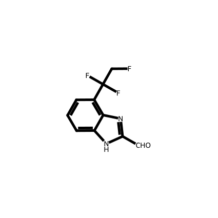 O=Cc1nc2c(C(F)(F)CF)cccc2[nH]1